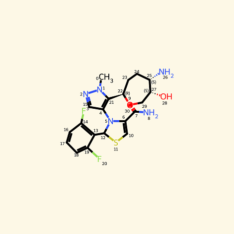 Cn1ncc(N2C(C(N)=O)=CSC2c2c(F)cccc2F)c1[C@H]1CC[C@H](N)[C@H](O)CO1